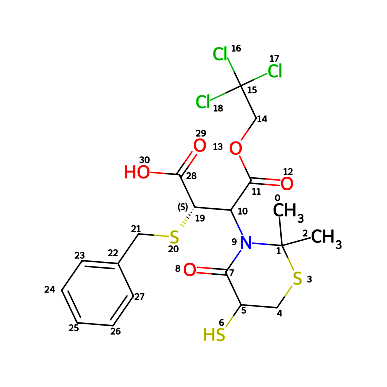 CC1(C)SCC(S)C(=O)N1C(C(=O)OCC(Cl)(Cl)Cl)[C@H](SCc1ccccc1)C(=O)O